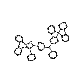 c1ccc(-c2c(-c3ccc(N(c4ccccc4)c4ccc(C5(c6ccccc6)c6ccccc6-c6ccccc65)cc4)cc3)oc3c4ccccc4c4ccccc4c23)cc1